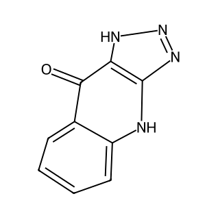 O=c1c2ccccc2[nH]c2nn[nH]c12